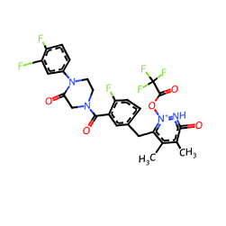 Cc1c(C)c(=O)[nH][n+](OC(=O)C(F)(F)F)c1Cc1ccc(F)c(C(=O)N2CCN(c3ccc(F)c(F)c3)C(=O)C2)c1